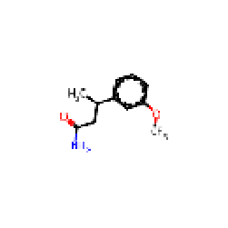 CC(CC(N)=O)c1cccc(OC(F)(F)F)c1